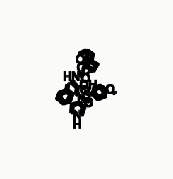 COc1ccc(S(=O)(=O)N(C[C@@H](O)[C@H](Cc2ccccc2)NC(=O)OC2C3COC4OC2CC4C3)C2CCNCC2)cc1